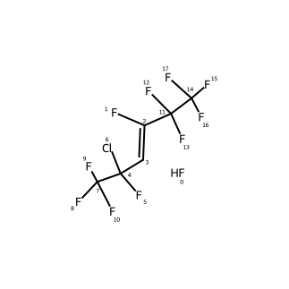 F.FC(=CC(F)(Cl)C(F)(F)F)C(F)(F)C(F)(F)F